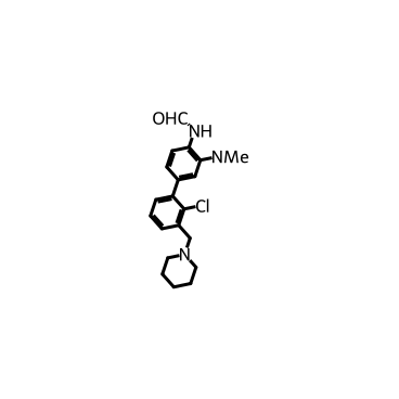 CNc1cc(-c2cccc(CN3CCCCC3)c2Cl)ccc1NC=O